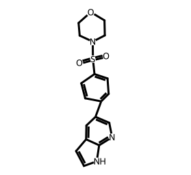 O=S(=O)(c1ccc(-c2cnc3[nH]ccc3c2)cc1)N1CCOCC1